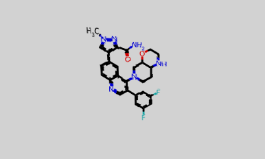 Cn1cc(-c2ccc3ncc(-c4cc(F)cc(F)c4)c(N4CCC5NCCOC5C4)c3c2)c(C(N)=O)n1